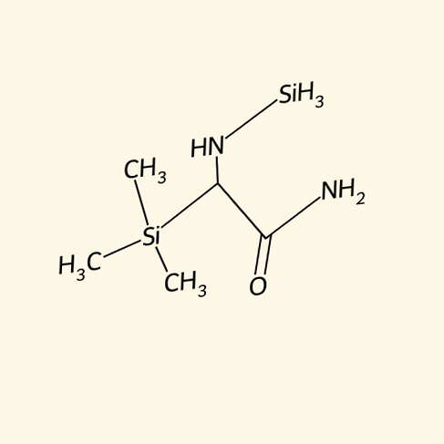 C[Si](C)(C)C(N[SiH3])C(N)=O